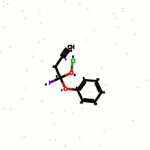 C#CCC(I)(OCl)Oc1ccccc1